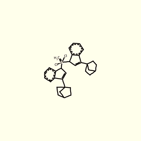 [CH2]=[Zr]([Cl])([Cl])([CH]1C=C(C23CCC(CC2)C3)c2ccccc21)[CH]1C=C(C23CCC(CC2)C3)c2ccccc21